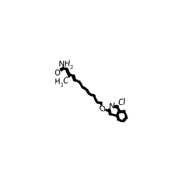 CC(/C=C/CCCCCCCOc1cc2ccccc2c(Cl)n1)=C\C(N)=O